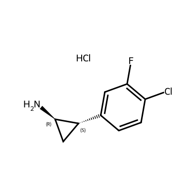 Cl.N[C@@H]1C[C@H]1c1ccc(Cl)c(F)c1